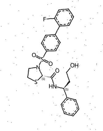 O=C(N[C@@H](CCO)c1ccccc1)[C@@H]1SCCN1S(=O)(=O)c1ccc(-c2ccccc2F)cc1